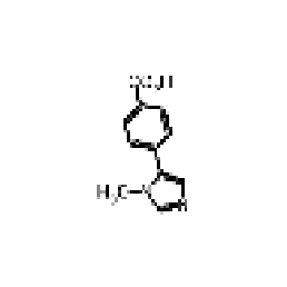 Cn1cncc1-c1ccc(C(=O)O)cc1